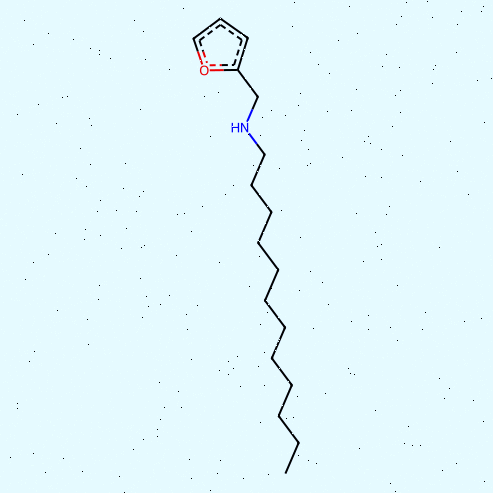 CCCCCCCCCCCCNCc1ccco1